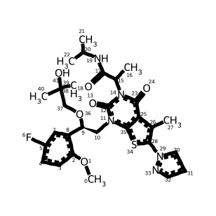 COc1ccc(F)cc1[C@H](Cn1c(=O)n(C(C)C(=O)NC(C)C)c(=O)c2c(C)c(-n3cccn3)sc21)OCC(C)(C)O